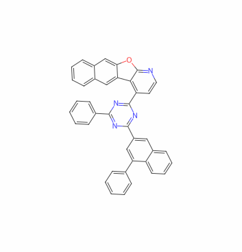 c1ccc(-c2nc(-c3cc(-c4ccccc4)c4ccccc4c3)nc(-c3ccnc4oc5cc6ccccc6cc5c34)n2)cc1